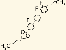 CCCCCC1COC(c2ccc(-c3ccc(-c4ccc(CCCC)c(F)c4F)cc3)c(F)c2)OC1